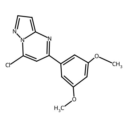 COc1cc(OC)cc(-c2cc(Cl)n3nccc3n2)c1